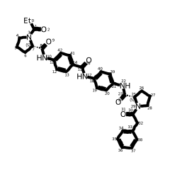 CCC(=O)N1CCC[C@H]1C(=O)Nc1ccc(C(=O)Nc2ccc(NC(=O)[C@@H]3CCCN3C(=O)Cc3ccccc3)cc2)cc1